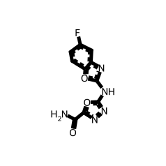 NC(=O)c1nnc(Nc2nc3cc(F)ccc3o2)o1